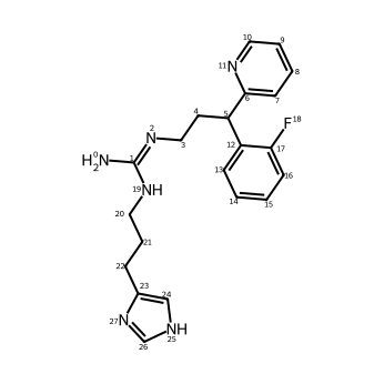 NC(=NCCC(c1ccccn1)c1ccccc1F)NCCCc1c[nH]cn1